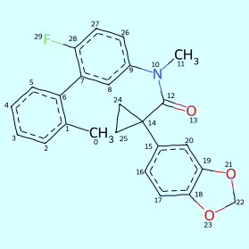 Cc1ccccc1-c1cc(N(C)C(=O)C2(c3ccc4c(c3)OCO4)CC2)ccc1F